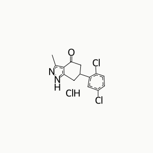 Cc1n[nH]c2c1C(=O)CC(c1cc(Cl)ccc1Cl)C2.Cl